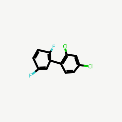 Fc1ccc(F)c(-c2ccc(Cl)cc2Cl)c1